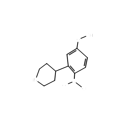 COc1ccc([S+](C)[O-])c(C2CCNCC2)c1